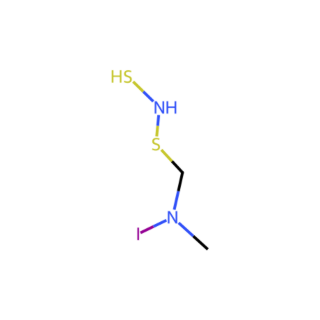 CN(I)CSNS